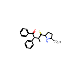 CC(C(=S)C1CC[C@@H](C(=O)O)N1)C(C(=O)c1ccccc1)c1ccccc1